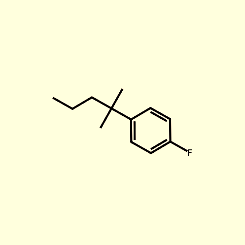 CCCC(C)(C)c1ccc(F)cc1